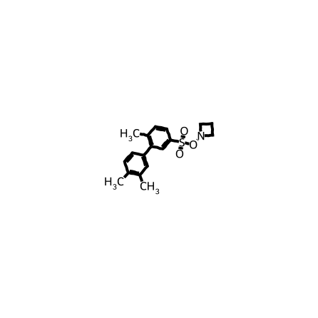 Cc1ccc(-c2cc(S(=O)(=O)ON3CCC3)ccc2C)cc1C